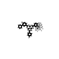 CB(C)[Si](C)(C)c1cc(C2=NC3=NC(c4ccc(F)c(C5CCCCC5)c4)=NC4=NC(c5ccc(F)cc5)=NC(=N2)N43)ccc1C